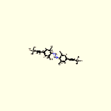 Cc1cc(C#C[Si](C)(C)C)cc(C)c1N=Nc1c(C)cc(C#C[Si](C)(C)C)cc1C